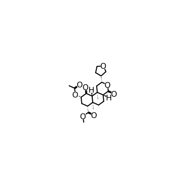 COC(=O)[C@@H]1C[C@H](OC(C)=O)C(=O)[C@H]2[C@@]1(C)CC[C@H]1C(=O)O[C@@H](C3CCOC3)C[C@]21C